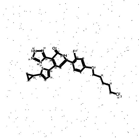 O=c1[nH]c(-c2ccc(OCCCCCC(F)(F)F)cc2F)cc(-c2ccc(C3CC3)s2)c1-c1nn[nH]n1